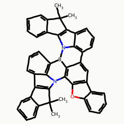 CC1(C)c2ccccc2-c2c1c1cccc3c1n2B1c2c-3cc3c(oc4ccccc43)c2-n2c3c(c4cccc1c42)-c1ccccc1C3(C)C